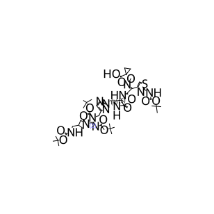 CC(C)(C)OC(=O)/N=C(/N1CC(CNC(=O)OC(C)(C)C)C1)N(Cc1cnn(C[C@H]2NC(=O)[C@H]2NC(=O)C(=NOC2(C(=O)O)CC2)c2csc(NC(=O)OC(C)(C)C)n2)n1)C(=O)OC(C)(C)C